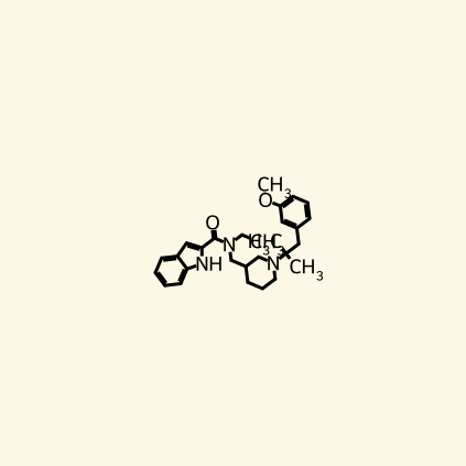 CCN(CC1CCCN(C(C)(C)Cc2cccc(OC)c2)C1)C(=O)c1cc2ccccc2[nH]1